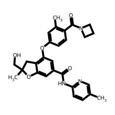 Cc1ccc(NC(=O)c2cc(Oc3ccc(C(=O)N4CCC4)c(C)c3)c3c(c2)OC(C)(CO)C3)nc1